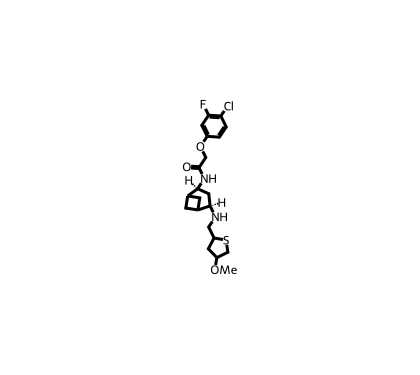 COC1CSC(CN[C@@H]2C[C@H](NC(=O)COc3ccc(Cl)c(F)c3)C3CC2C3)C1